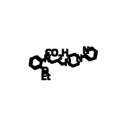 CCOc1ccccc1N(CCCN1CCN(c2ccccn2)CC1)C(=O)O